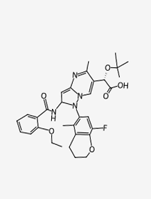 CCOc1ccccc1C(=O)NC1C=C2N=C(C)C([C@H](OC(C)(C)C)C(=O)O)=CN2N1c1cc(F)c2c(c1C)CCCO2